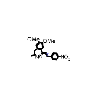 COc1cc2c(cc1OC)C(/C=C/c1ccc([N+](=O)[O-])cc1)=NN=C(C)C2